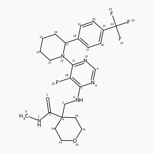 CNC(=O)C1(CNc2ncnc(N3CCCCC3c3ccc(C(F)(F)F)cc3)c2F)CCOCC1